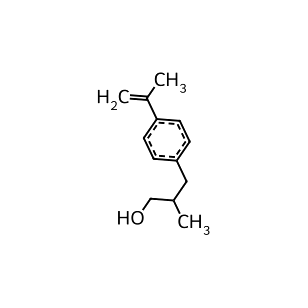 C=C(C)c1ccc(CC(C)CO)cc1